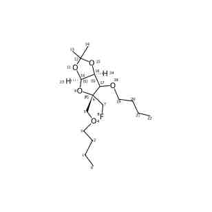 CCCCOC[C@@]1(CF)O[C@H]2OC(C)(C)O[C@H]2C1OCCCC